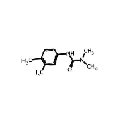 Cc1ccc(NC(=O)N(C)C)cc1C